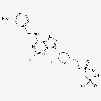 Cc1cccc(CNc2nc(Cl)nc3c2ncn3[C@@H]2O[C@H](COP(=O)(O)CP(=O)(O)O)C[C@@H]2F)c1